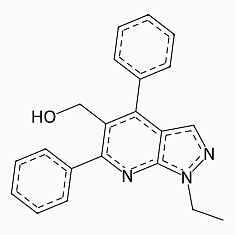 CCn1ncc2c(-c3ccccc3)c(CO)c(-c3ccccc3)nc21